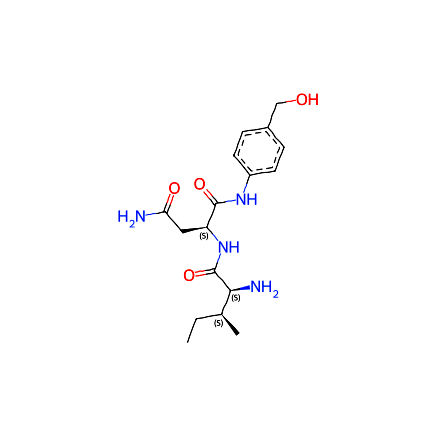 CC[C@H](C)[C@H](N)C(=O)N[C@@H](CC(N)=O)C(=O)Nc1ccc(CO)cc1